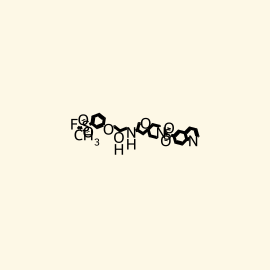 CC(F)S(=O)(=O)c1cccc(OC[C@@H](O)CNC2COC3(CCN(S(=O)(=O)c4ccc5ncccc5c4)CC3)C2)c1